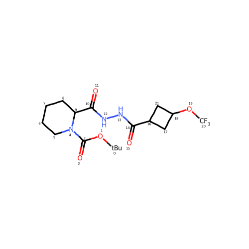 CC(C)(C)OC(=O)N1CCCCC1C(=O)NNC(=O)C1CC(OC(F)(F)F)C1